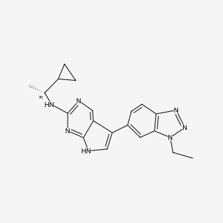 CCn1nnc2ccc(-c3c[nH]c4nc(N[C@H](C)C5CC5)ncc34)cc21